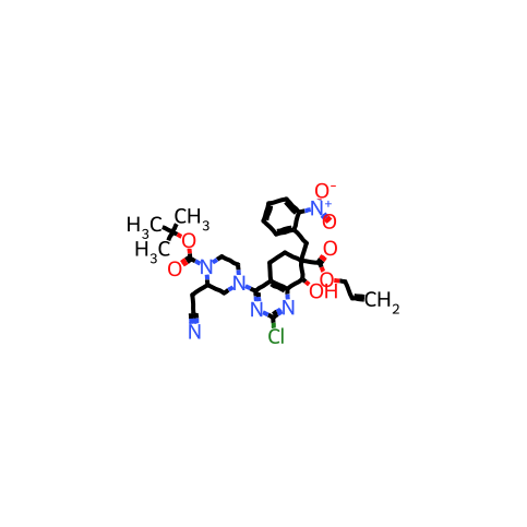 C=CCOC(=O)C1(Cc2ccccc2[N+](=O)[O-])CCc2c(nc(Cl)nc2N2CCN(C(=O)OC(C)(C)C)C(CC#N)C2)C1O